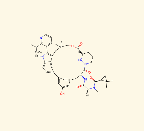 CCn1c(-c2cccnc2[C@H](C)OC)c2c3cc(ccc31)-c1cc(O)cc(c1)C[C@H](NC(=O)[C@H](C(C)C)N(C)C(=O)[C@H]1CC1(C)C)C(=O)N1CCC[C@H](N1)C(=O)OCC(C)(C)C2